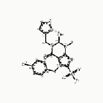 CC(C)S(=O)(=O)c1nc2c(n1Cc1ccc(Cl)cc1)C(=O)N(Cc1ccno1)C(O)N2C